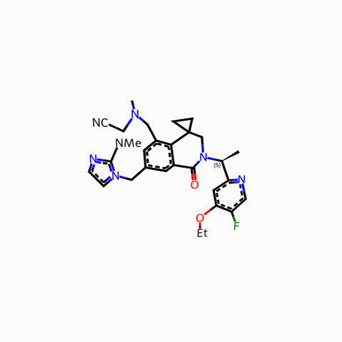 CCOc1cc([C@H](C)N2CC3(CC3)c3c(CN(C)CC#N)cc(Cn4ccnc4NC)cc3C2=O)ncc1F